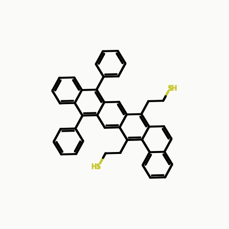 SCCc1c2cc3c(-c4ccccc4)c4ccccc4c(-c4ccccc4)c3cc2c(CCS)c2c1ccc1ccccc12